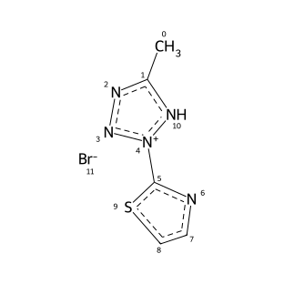 Cc1nn[n+](-c2nccs2)[nH]1.[Br-]